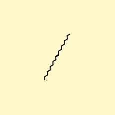 [CH2]CCCCCCCCC=CCCCCCCCC